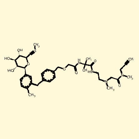 C#CCN(C)C(=O)CN(C)CCNC(=O)C(C)(C)NC(=O)COCc1ccc(Cc2cc([C@@H]3OC(C#SC)[C@@H](O)[C@H](O)[C@H]3O)ccc2C)cc1